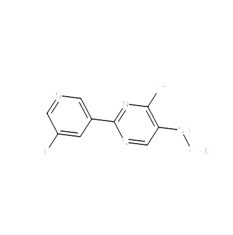 CCOC(=O)Nc1cnc(-c2cncc(F)c2)nc1C(F)(F)F